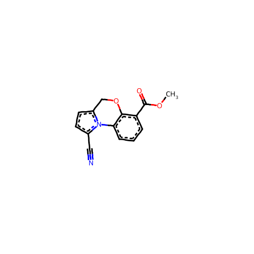 COC(=O)c1cccc2c1OCc1ccc(C#N)n1-2